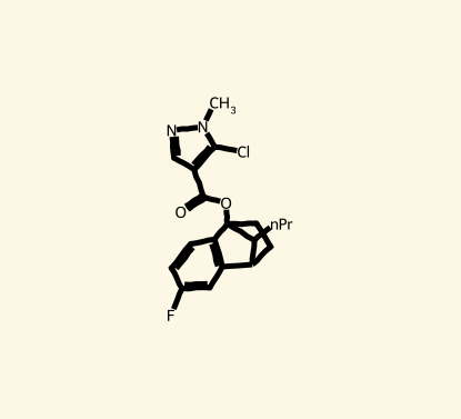 CCCC1C2CCC1(OC(=O)c1cnn(C)c1Cl)c1ccc(F)cc12